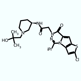 CC(C)c1nn(CC(=O)N[C@@H]2CCCN(CC(C)(C)O)C2)c(=O)c2cc3sc(Cl)cc3n12